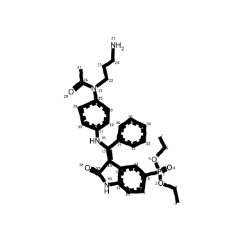 CCOP(=O)(OCC)c1ccc2c(c1)/C(=C(/Nc1ccc(N(CCCN)C(C)=O)cc1)c1ccccc1)C(=O)N2